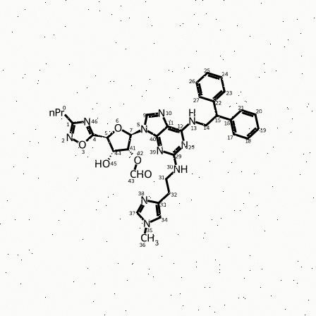 CCCc1noc([C@H]2O[C@@H](n3cnc4c(NCC(c5ccccc5)c5ccccc5)nc(NCCc5cn(C)cn5)nc43)[C@H](OC=O)[C@@H]2O)n1